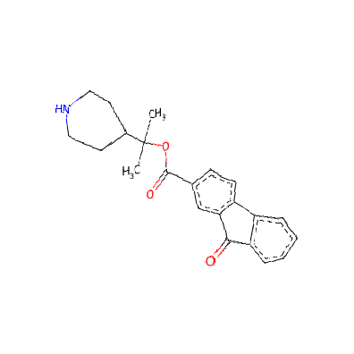 CC(C)(OC(=O)c1ccc2c(c1)C(=O)c1ccccc1-2)C1CCNCC1